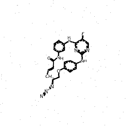 C/C=C/C(=O)Nc1cccc(Nc2nc(Nc3ccc(OCCN=[N+]=[N-])cc3)ncc2F)c1